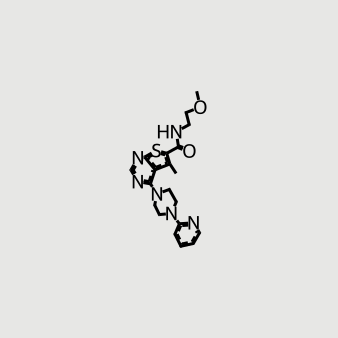 COCCNC(=O)c1sc2ncnc(N3CCN(c4ccccn4)CC3)c2c1C